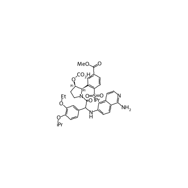 CCOc1cc(C(Nc2ccc3c(N)nccc3c2)C(=O)N2CC[C@@H](OC(=O)O)[C@H]2c2cc(C(=O)OC)ccc2S(=O)(=O)C(C)C)ccc1OC(C)C